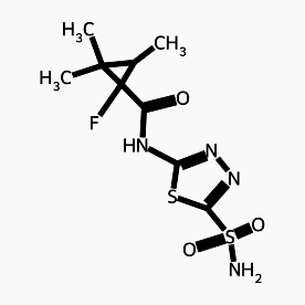 CC1C(C)(C)C1(F)C(=O)Nc1nnc(S(N)(=O)=O)s1